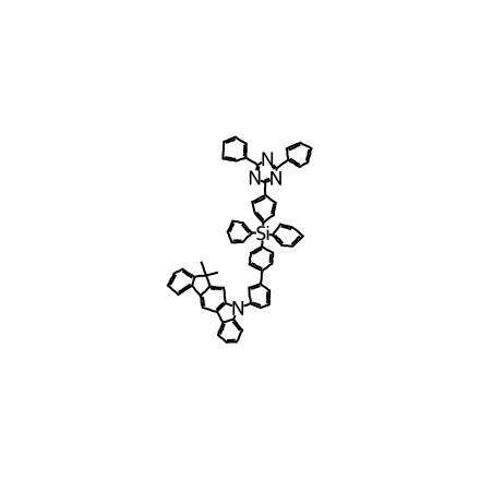 CC1(C)c2ccccc2-c2cc3c4ccccc4n(-c4cccc(-c5ccc([Si](c6ccccc6)(c6ccccc6)c6ccc(-c7nc(-c8ccccc8)nc(-c8ccccc8)n7)cc6)cc5)c4)c3cc21